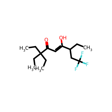 CCC(CC(F)(F)F)/C(O)=C/C(=O)C(CC)(CC)CC